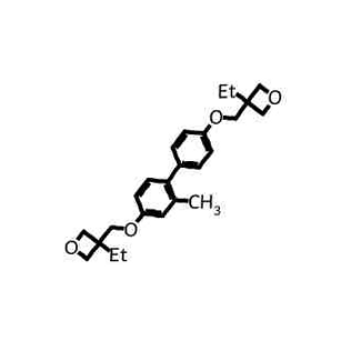 CCC1(COc2ccc(-c3ccc(OCC4(CC)COC4)cc3C)cc2)COC1